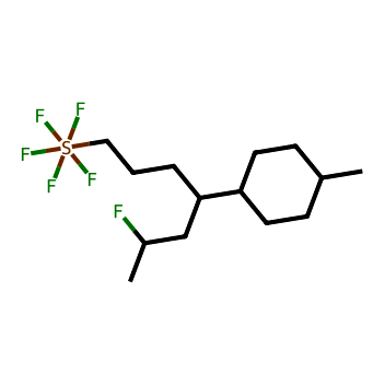 CC(F)CC(CCCS(F)(F)(F)(F)F)C1CCC(C)CC1